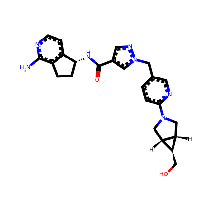 Nc1nccc2c1CC[C@H]2NC(=O)c1cnn(Cc2ccc(N3C[C@@H]4[C@@H](CO)[C@@H]4C3)nc2)c1